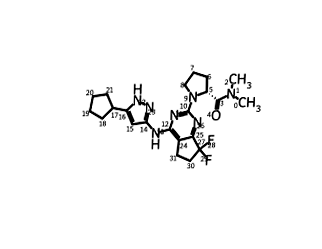 CN(C)C(=O)[C@H]1CCCN1c1nc(Nc2cc(C3CCCC3)[nH]n2)c2c(n1)C(F)(F)CC2